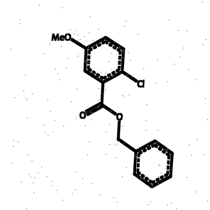 COc1ccc(Cl)c(C(=O)OCc2ccccc2)c1